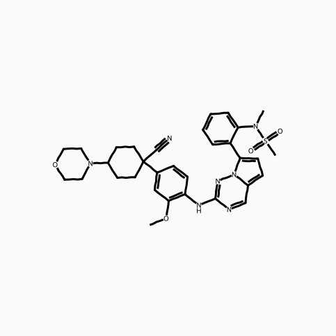 COc1cc(C2(C#N)CCC(N3CCOCC3)CC2)ccc1Nc1ncc2ccc(-c3ccccc3N(C)S(C)(=O)=O)n2n1